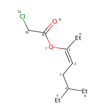 CC/C(=C/CC(CC)CC)OC(=O)CCl